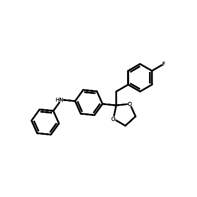 Fc1ccc(CC2(c3ccc(Nc4ccccc4)cc3)OCCO2)cc1